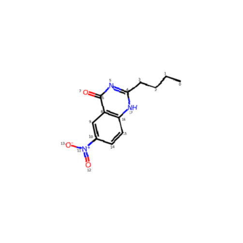 CCCCc1nc(=O)c2cc([N+](=O)[O-])ccc2[nH]1